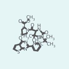 COC(=O)[C@@H]1C[C@@H](Oc2nc(-c3ccccn3)nc3sccc23)CN1C(=O)C(NC(=O)NC(C)(C)C)C(C)(C)C